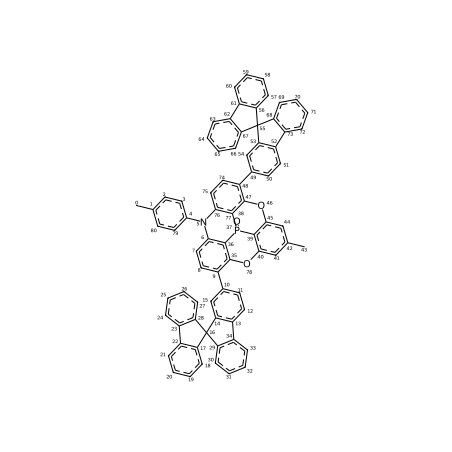 Cc1ccc(N2c3ccc(-c4ccc5c(c4)C4(c6ccccc6-c6ccccc64)c4ccccc4-5)c4c3P3(=O)c5c(cc(C)cc5Oc5c(-c6ccc7c(c6)C6(c8ccccc8-c8ccccc86)c6ccccc6-7)ccc2c53)O4)cc1